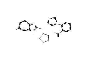 O=C(N[C@@H]1CCC[C@@H]1Nc1nc2ccc(F)cc2s1)c1ccccc1-n1ccnc1